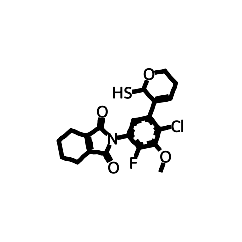 COc1c(F)c(N2C(=O)C3=C(CCCC3)C2=O)cc(C2=CCCOC2S)c1Cl